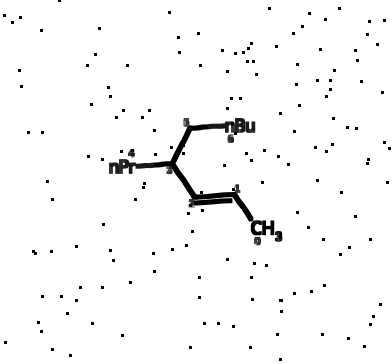 CC=CC(CCC)CCCCC